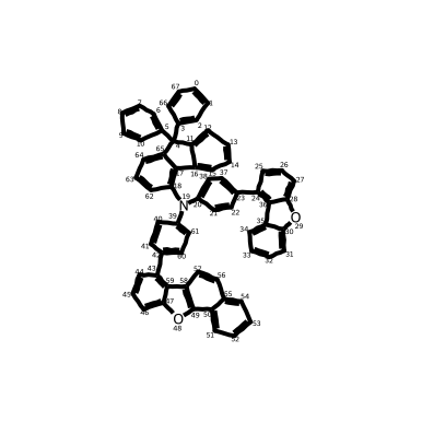 c1ccc(C2(c3ccccc3)c3ccccc3-c3c(N(c4ccc(-c5cccc6oc7ccccc7c56)cc4)c4ccc(-c5cccc6oc7c8ccccc8ccc7c56)cc4)cccc32)cc1